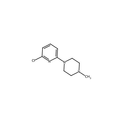 CN1CCN(c2cccc(Cl)n2)CC1